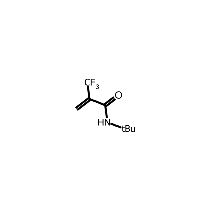 C=C(C(=O)NC(C)(C)C)C(F)(F)F